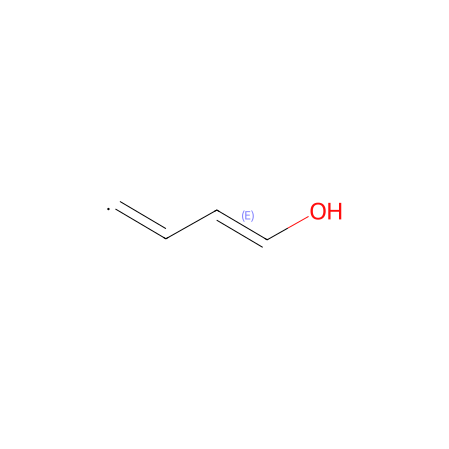 [CH]=C/C=C/O